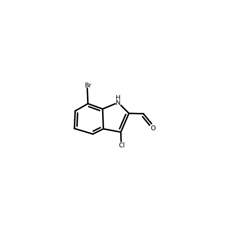 O=Cc1[nH]c2c(Br)cccc2c1Cl